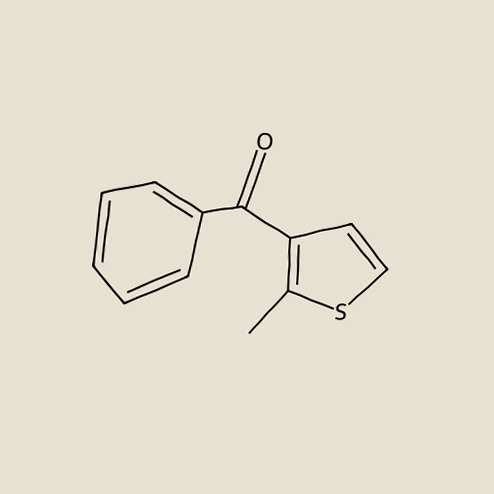 Cc1sccc1C(=O)c1ccccc1